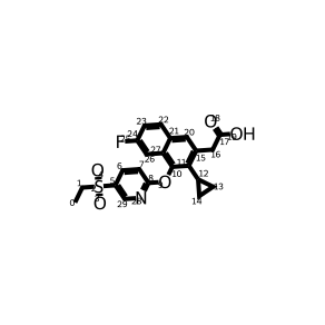 CCS(=O)(=O)c1ccc(Oc2c(C3CC3)c(CC(=O)O)cc3ccc(F)cc23)nc1